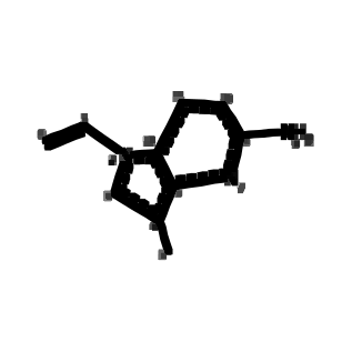 C=Cn1cc(C)c2nc(N)ccc21